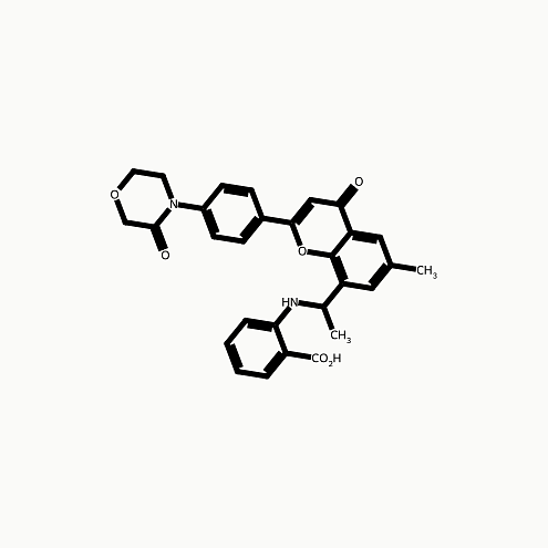 Cc1cc(C(C)Nc2ccccc2C(=O)O)c2oc(-c3ccc(N4CCOCC4=O)cc3)cc(=O)c2c1